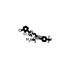 NC=S.O=C(Cn1nnc(-c2cccc(Cl)c2Cl)n1)NNc1ccc(C(F)(F)F)cc1